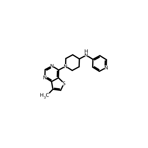 Cc1csc2c(N3CCC(Nc4ccncc4)CC3)ncnc12